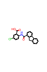 O=C(O)c1cc(Cl)ccc1NC(=O)c1cccc2c1Cc1ccccc1-2